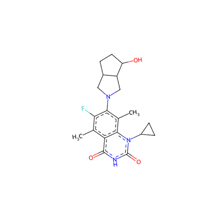 Cc1c(F)c(N2CC3CCC(O)C3C2)c(C)c2c1c(=O)[nH]c(=O)n2C1CC1